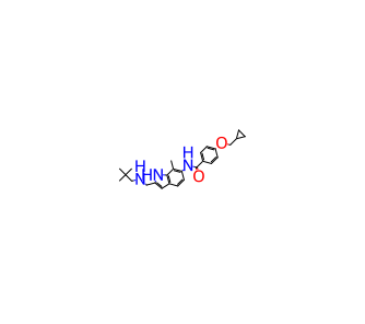 Cc1c(NC(=O)c2ccc(OCC3CC3)cc2)ccc2cc(CNCC(C)(C)C)[nH]c12